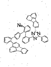 N#Cc1cccc(-c2ccccc2-c2nc(-c3ccccc3)nc(-c3ccc4c(c3)-c3cccc5cccc-4c35)n2)c1-c1ccc(-c2ccccc2-c2ccc3c4c(cccc24)-c2ccccc2-3)cc1